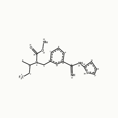 CC(CC(F)(F)F)N(Cc1cccc(C(=N)Nc2cccs2)c1)C(=O)OC(C)(C)C